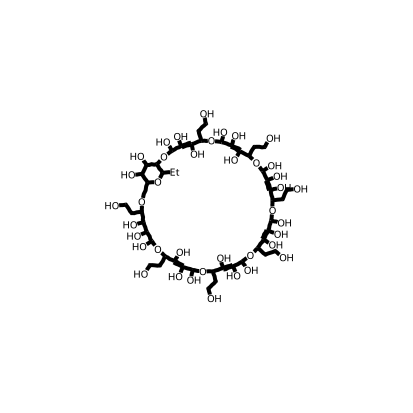 CCC1OC2OC(CCO)C(O)C(O)C(O)OC(CCO)/C(O)=C(\O)C(O)OC(CCO)/C(O)=C(\O)C(O)OC(CCO)/C(O)=C(/O)C(O)OC(CCO)/C(O)=C(/O)C(O)OC(CCO)/C(O)=C(\O)C(O)OC(CCO)/C(O)=C(\O)C(O)OC1C(O)C2O